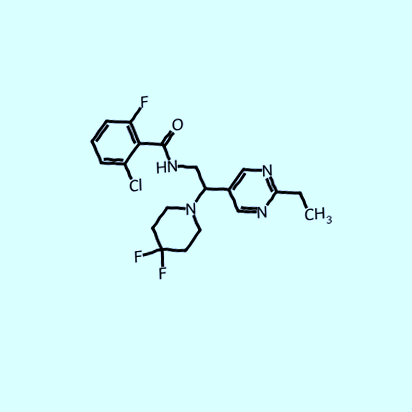 CCc1ncc(C(CNC(=O)c2c(F)cccc2Cl)N2CCC(F)(F)CC2)cn1